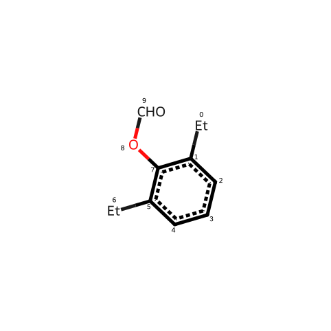 CCc1cccc(CC)c1OC=O